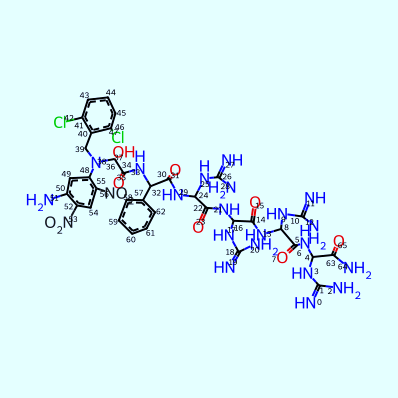 N=C(N)NC(NC(=O)C(NC(=N)N)NC(=O)C(NC(=N)N)NC(=O)C(NC(=N)N)NC(=O)C(NC(=O)C(O)N(Cc1c(Cl)cccc1Cl)c1cc(N)c([N+](=O)[O-])cc1[N+](=O)[O-])c1ccccc1)C(N)=O